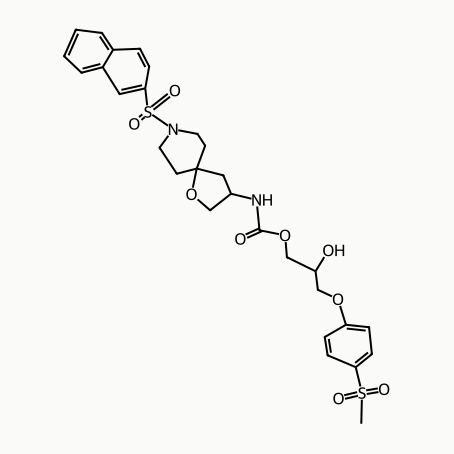 CS(=O)(=O)c1ccc(OCC(O)COC(=O)NC2COC3(CCN(S(=O)(=O)c4ccc5ccccc5c4)CC3)C2)cc1